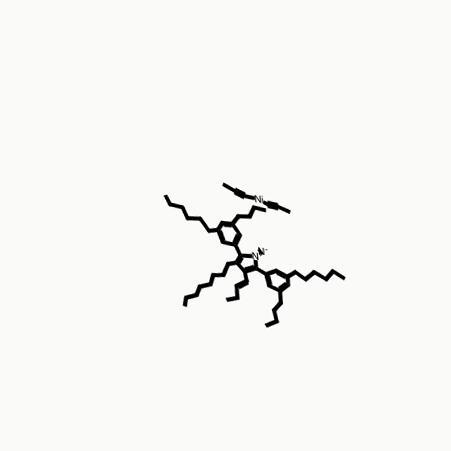 CC#[C][Ni][C]#CC.CCC=CC1=C(c2cc(CCCC)cc(CCCCCC)c2)[N+](=[N-])C(c2cc(CCCC)cc(CCCCCC)c2)=C1CCCCCCCC